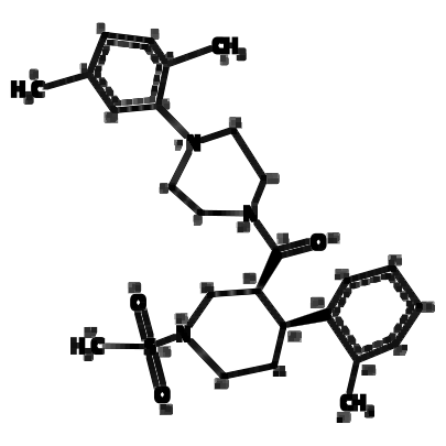 Cc1ccc(C)c(N2CCN(C(=O)[C@@H]3CN(S(C)(=O)=O)CC[C@@H]3c3ccccc3C)CC2)c1